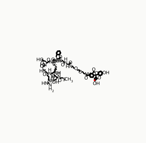 CSCC(=O)N[C@@H](CC(=O)O)C(=O)N[C@H]1CSSC[C@@H](C(=O)N[C@@H](Cc2ccccc2)C(=O)NCC(=O)NCC(=O)NCCOCCOCCNC(=O)c2ccc3c(c2)C(=O)OC32c3ccc(O)cc3Oc3cc(O)ccc32)NC(=O)[C@H](CC(=O)O)NC(=O)CNC(=O)[C@H](CCCNC(=N)N)NC1=O